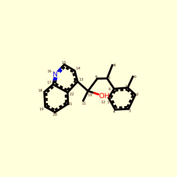 Cc1ccccc1C(C)CC(C)(O)c1ccnc2ccccc12